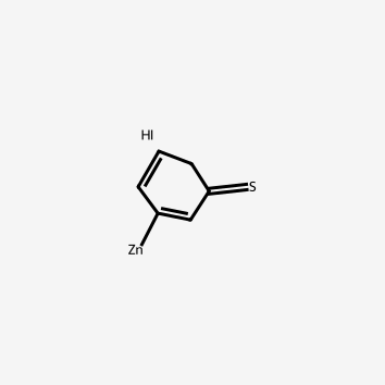 I.S=C1C=[C]([Zn])C=CC1